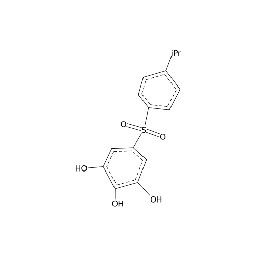 CC(C)c1ccc(S(=O)(=O)c2cc(O)c(O)c(O)c2)cc1